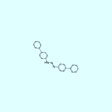 c1ccc(-c2ccc(/N=N/Nc3ccc(-c4ccccc4)cc3)cc2)cc1